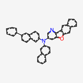 c1ccc(-c2ccc3cc(N(c4ccc5ccccc5c4)c4cnc5c(c4)oc4cc6ccccc6cc45)ccc3c2)cc1